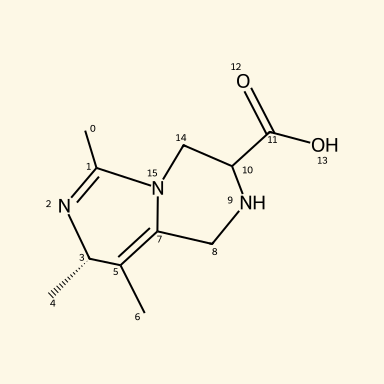 CC1=N[C@@H](C)C(C)=C2CNC(C(=O)O)CN12